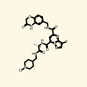 C[C@H](NC(=O)c1cc(C(=O)NCc2ccc3c(c2)NC(=O)CO3)nc2c(F)cnn12)C(=O)NCC1CCN(Cl)CC1